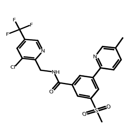 Cc1ccc(-c2cc(C(=O)NCc3ncc(C(F)(F)F)cc3Cl)cc(S(C)(=O)=O)c2)nc1